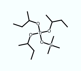 CCC(C)[O][Ti]([O]C(C)CC)([O]C(C)CC)[O][Si](C)(C)C